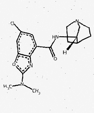 CN(C)c1nc2c(C(=O)N[C@@H]3CN4CCC3CC4)cc(Cl)cc2o1